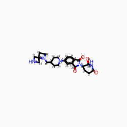 O=C1CCC(N2C(=O)c3ccc(N4CCC(CN5CCC56CNC6)CC4)cc3C2=O)C(=O)N1